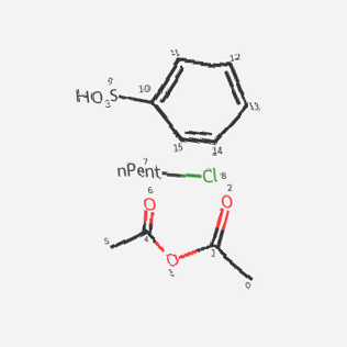 CC(=O)OC(C)=O.CCCCCCl.O=S(=O)(O)c1ccccc1